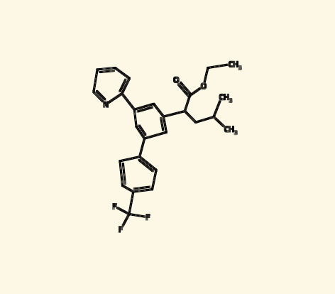 CCOC(=O)C(CC(C)C)c1cc(-c2ccc(C(F)(F)F)cc2)cc(-c2ccccn2)c1